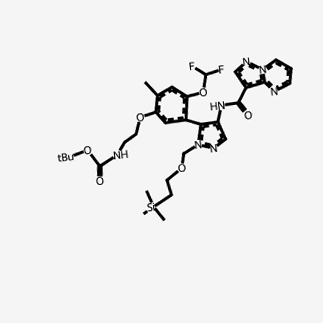 Cc1cc(OC(F)F)c(-c2c(NC(=O)c3cnn4cccnc34)cnn2COCC[Si](C)(C)C)cc1OCCNC(=O)OC(C)(C)C